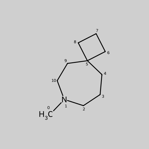 CN1CCCC2(CCC2)CC1